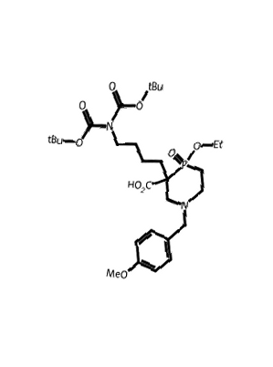 CCOP1(=O)CCN(Cc2ccc(OC)cc2)CC1(CCCCN(C(=O)OC(C)(C)C)C(=O)OC(C)(C)C)C(=O)O